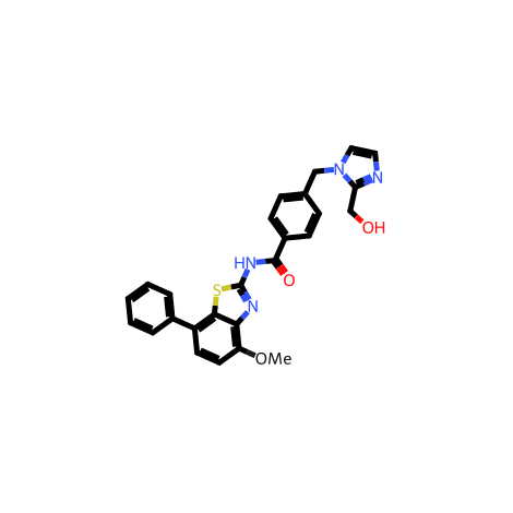 COc1ccc(-c2ccccc2)c2sc(NC(=O)c3ccc(Cn4ccnc4CO)cc3)nc12